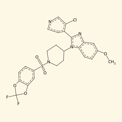 COc1ccc2c(c1)nc(-c1ccncc1Cl)n2C1CCN(S(=O)(=O)c2ccc3c(c2)OC(F)(F)O3)CC1